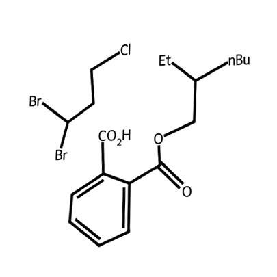 CCCCC(CC)COC(=O)c1ccccc1C(=O)O.ClCCC(Br)Br